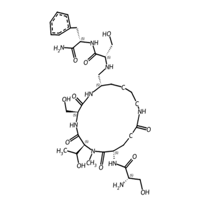 CC(O)[C@H]1C(=O)N[C@@H](CO)C(=O)N[C@H](CN[C@@H](CO)C(=O)N[C@@H](Cc2ccccc2)C(N)=O)CCCCNC(=O)CC[C@H](NC(=O)[C@@H](N)CO)C(=O)N1C